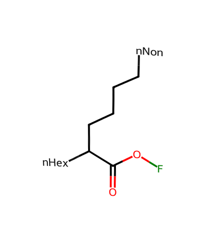 CCCCCCCCCCCCCC(CCCCCC)C(=O)OF